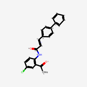 COC(=O)c1cc(Cl)ccc1NC(=O)/C=C/c1ccc(-c2ccccc2)cc1